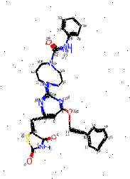 O=C1NC(=O)/C(=C\c2cc(OCc3ccccc3)nc(N3CCCN(C(=O)Nc4ccccc4)CC3)n2)S1